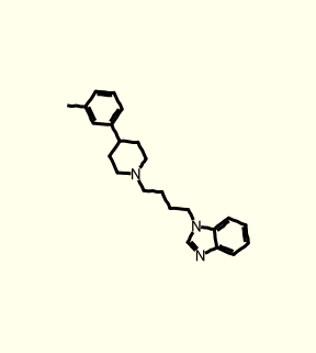 Cc1cccc(C2CCN(CCCCn3cnc4ccccc43)CC2)c1